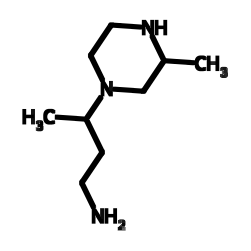 CC1CN(C(C)CCN)CCN1